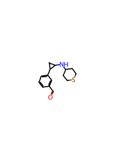 O=Cc1cccc(C2CC2NC2CCSCC2)c1